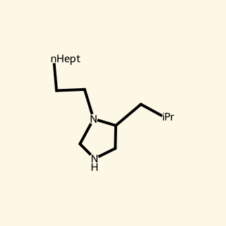 CCCCCCCCCN1CNCC1CC(C)C